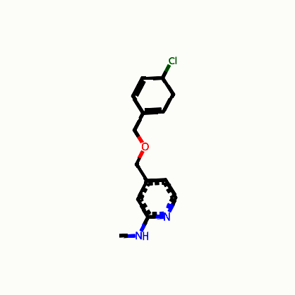 CNc1cc(COCC2=CCC(Cl)C=C2)ccn1